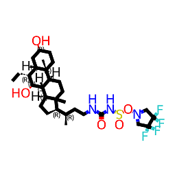 CC[C@H]1[C@@H](O)[C@H]2[C@@H]3CC[C@H]([C@H](C)CCNC(=O)NS(=O)ON4CC(F)(F)C(F)(F)C4)C3(C)CC[C@@H]2[C@@]2(C)CC[C@@H](O)C[C@@H]12